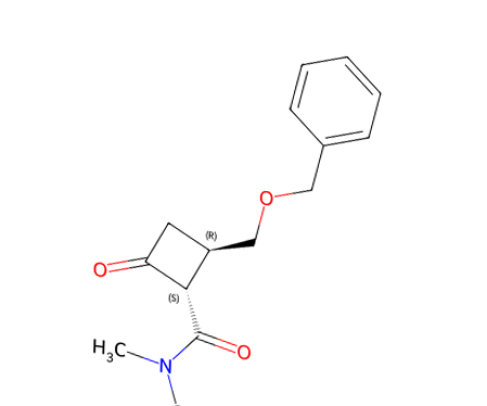 CON(C)C(=O)[C@@H]1C(=O)C[C@H]1COCc1ccccc1